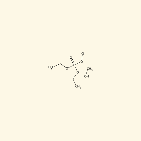 CCOP(=O)(OCl)OCC.CO